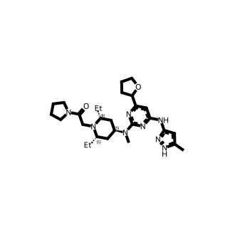 CC[C@@H]1C[C@@H](N(C)c2nc(Nc3cc(C)[nH]n3)cc(C3CCCO3)n2)C[C@H](CC)N1CC(=O)N1CCCC1